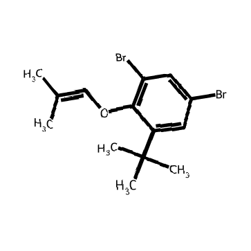 CC(C)=COc1c(Br)cc(Br)cc1C(C)(C)C